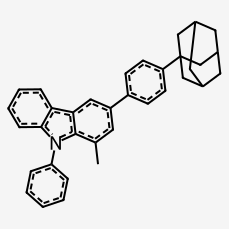 Cc1cc(-c2ccc(C34CC5CC(CC(C5)C3)C4)cc2)cc2c3ccccc3n(-c3ccccc3)c12